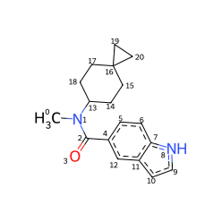 CN(C(=O)c1ccc2[nH]ccc2c1)C1CCC2(CC1)CC2